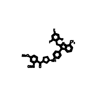 COc1ccc(C(=O)N2CC[C@@H](Nc3ccc(-c4c5cccc(C(F)(F)F)c5nn4Cc4c(F)cc(F)cc4F)cc3)C2)c(OC)c1